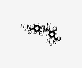 NC(=O)c1ccc(N=NNc2ccc(C(N)=O)cc2Cl)c(Cl)c1